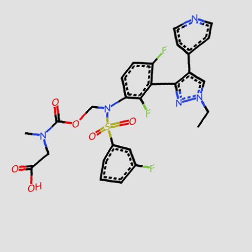 CCn1cc(-c2ccncc2)c(-c2c(F)ccc(N(COC(=O)N(C)CC(=O)O)S(=O)(=O)c3cccc(F)c3)c2F)n1